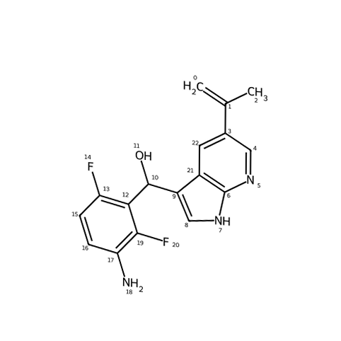 C=C(C)c1cnc2[nH]cc(C(O)c3c(F)ccc(N)c3F)c2c1